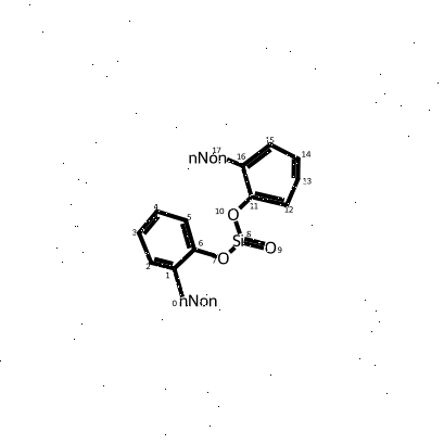 CCCCCCCCCc1ccccc1O[Si](=O)Oc1ccccc1CCCCCCCCC